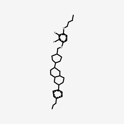 CCCCOc1ccc(OCC2CCC(C3CCC4CC(c5ccc(CCC)cc5)CCC4C3)CC2)c(F)c1F